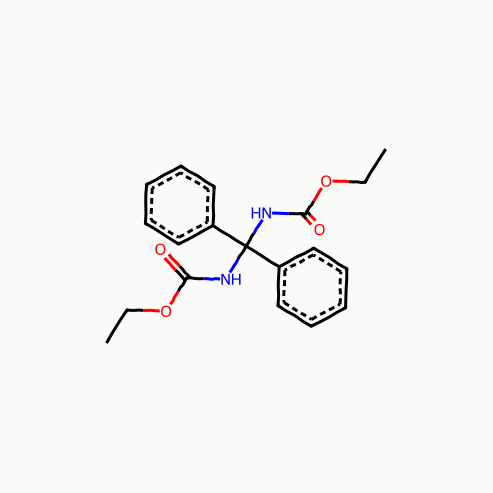 CCOC(=O)NC(NC(=O)OCC)(c1ccccc1)c1ccccc1